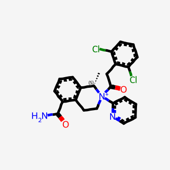 C[C@H]1c2cccc(C(N)=O)c2CC[N+]1(C(=O)Cc1c(Cl)cccc1Cl)c1ccccn1